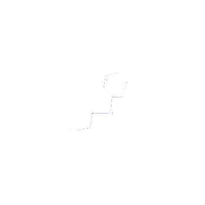 CNCC(=O)Nc1ccccc1S